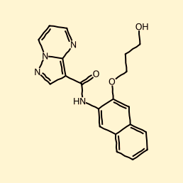 O=C(Nc1cc2ccccc2cc1OCCCO)c1cnn2cccnc12